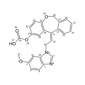 COc1ccc2ncn(CC=C3c4ccccc4COc4ccc(OC(=O)O)cc43)c2c1